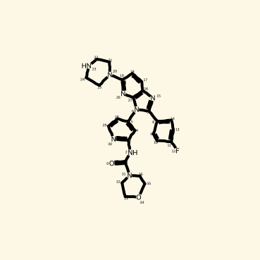 O=C(Nc1cc(-n2c(-c3ccc(F)cc3)nc3ccc(N4CCNCC4)nc32)ccn1)N1CCOCC1